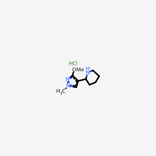 COc1nn(C)cc1C1CCCCN1.Cl